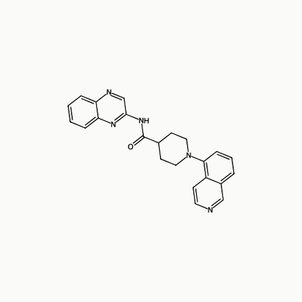 O=C(Nc1cnc2ccccc2n1)C1CCN(c2cccc3cnccc23)CC1